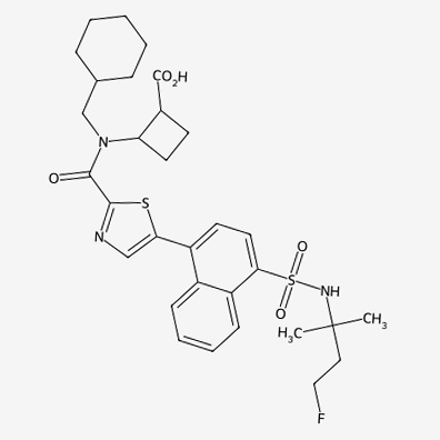 CC(C)(CCF)NS(=O)(=O)c1ccc(-c2cnc(C(=O)N(CC3CCCCC3)C3CCC3C(=O)O)s2)c2ccccc12